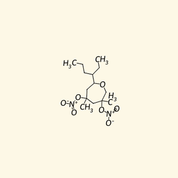 CCCC(CC)C1CC(C)(O[N+](=O)[O-])CC(C)(O[N+](=O)[O-])CO1